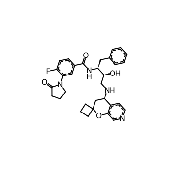 O=C(N[C@@H](Cc1ccccc1)[C@@H](O)CN[C@@H]1CC2(CCC2)Oc2cnccc21)c1ccc(F)c(N2CCCC2=O)c1